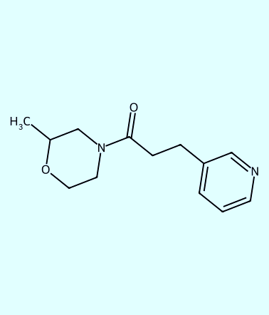 CC1CN(C(=O)CCc2cccnc2)CCO1